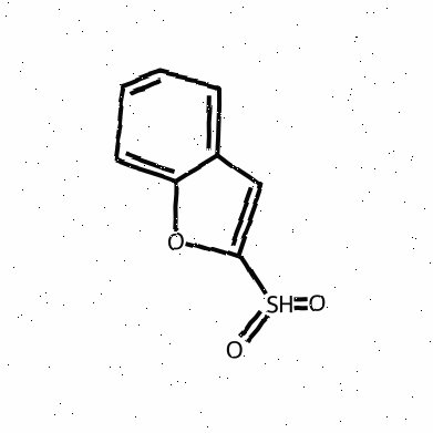 O=[SH](=O)c1cc2ccccc2o1